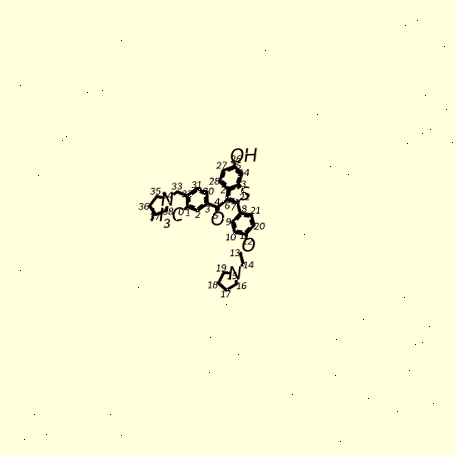 Cc1cc(C(=O)c2c(-c3ccc(OCCN4CCCC4)cc3)sc3cc(O)ccc23)ccc1CN1CCCC1